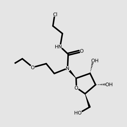 CCOCCN(C(=O)NCCCl)[C@@H]1O[C@H](CO)[C@@H](O)[C@H]1O